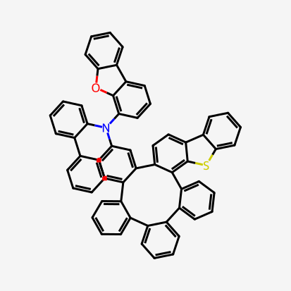 c1ccc(-c2ccccc2N(c2ccc3c4ccccc4c4ccccc4c4ccccc4c4c(ccc5c6ccccc6sc54)c3c2)c2cccc3c2oc2ccccc23)cc1